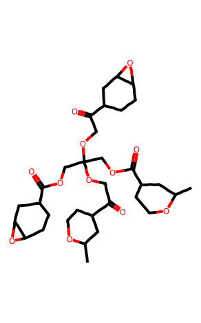 CC1CC(C(=O)COC(COC(=O)C2CCOC(C)C2)(COC(=O)C2CCC3OC3C2)OCC(=O)C2CCC3OC3C2)CCO1